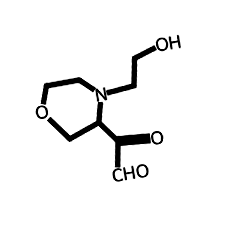 O=CC(=O)C1COCCN1CCO